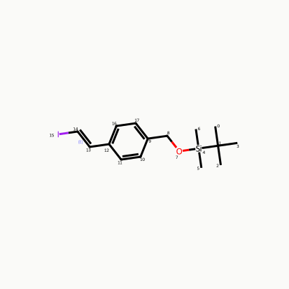 CC(C)(C)[Si](C)(C)OCc1ccc(/C=C/I)cc1